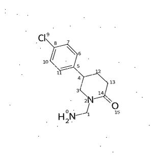 NCN1CC(c2ccc(Cl)cc2)CCC1=O